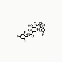 CN1C(=O)c2c(O)c(=O)c(C(=O)NCc3c(F)cc(F)cc3F)cn2N2C[C@H]3C[C@H](C3)[C@@H]12